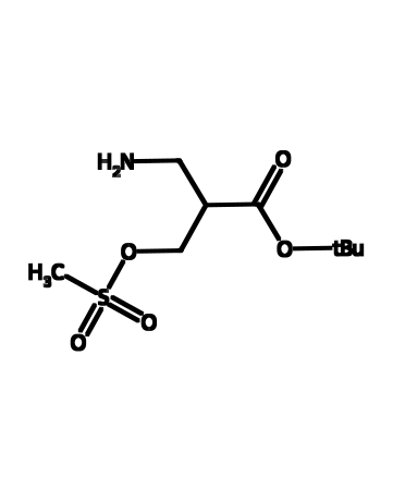 CC(C)(C)OC(=O)C(CN)COS(C)(=O)=O